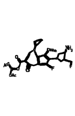 COc1c(N2CC(N)C(CF)C2)c(F)cc2c(=O)c(C(=O)OB(OC(C)=O)OC(C)=O)cn(C3CC3)c12